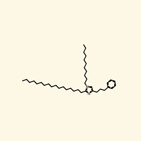 CCCCCCCCCCCCCCCCCc1nc(CCCc2ccccc2)cn1CCCCCCCCCCC